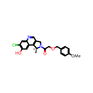 COc1ccc(COCC(=O)N2Cc3cnc4cc(Cl)c(O)cc4c3[C@@H]2C)cc1